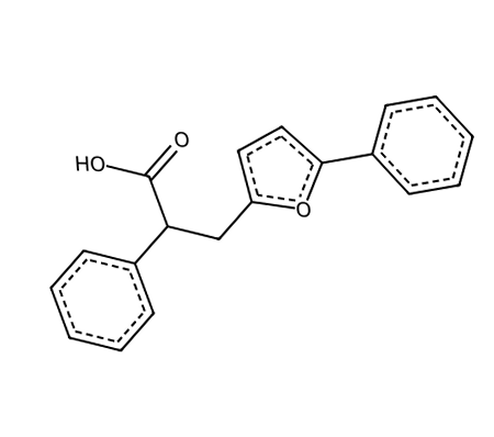 O=C(O)C(Cc1ccc(-c2ccccc2)o1)c1ccccc1